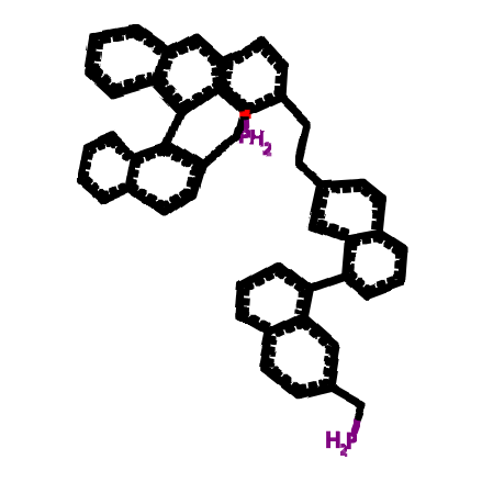 PCc1ccc2cccc(-c3cccc4ccc(CCc5ccccc5Cc5ccc6ccccc6c5-c5c(CP)ccc6ccccc56)cc34)c2c1